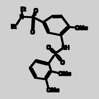 CCN(CC)S(=O)(=O)c1ccc(OC)c(NS(=O)(=O)c2cccc(OC)c2OC)c1